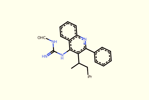 CC(C)CC(C)c1c(-c2ccccc2)nc2ccccc2c1NC(=N)NC=O